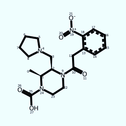 C[C@H]1[C@@H](CN2CCCC2)N(C(=O)Cc2ccccc2[N+](=O)[O-])CCN1C(=O)O